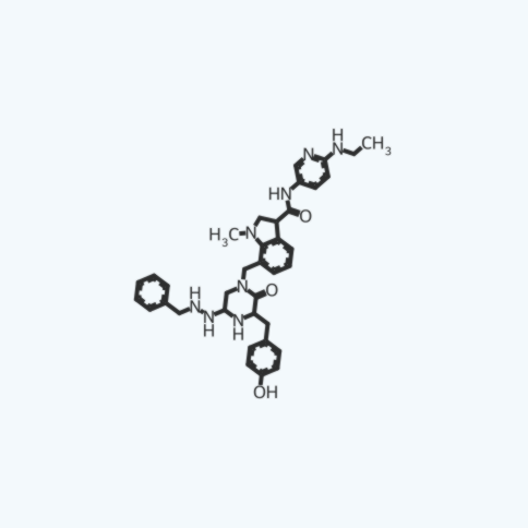 CCNc1ccc(NC(=O)C2CN(C)c3c(CN4CC(NNCc5ccccc5)NC(Cc5ccc(O)cc5)C4=O)cccc32)cn1